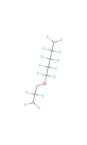 FC(F)C(F)(F)COC(F)(F)C(F)(F)C(F)(F)C(F)(F)C(F)F